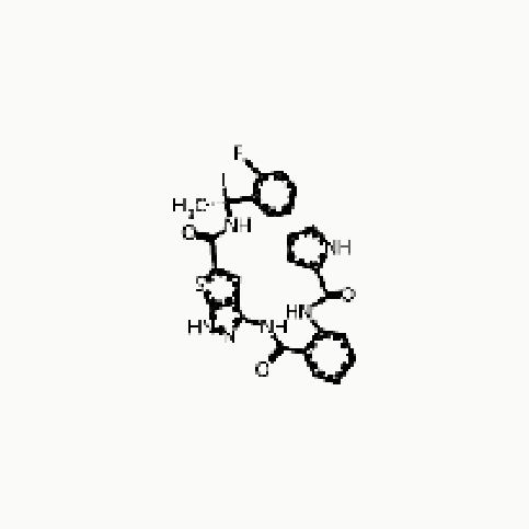 C[C@@](I)(NC(=O)c1cc2c(NC(=O)c3ccccc3NC(=O)c3ccc[nH]3)n[nH]c2s1)c1ccccc1F